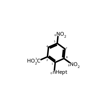 CCCCCCCc1c(C(=O)O)cc([N+](=O)[O-])cc1[N+](=O)[O-]